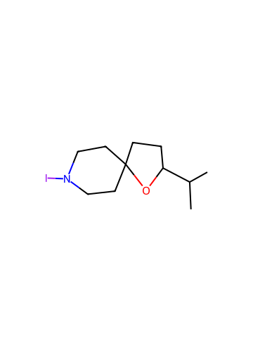 CC(C)C1CCC2(CCN(I)CC2)O1